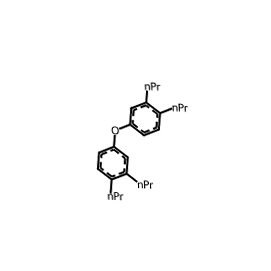 CCCc1ccc(Oc2ccc(CCC)c(CCC)c2)cc1CCC